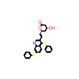 O=C1C[C@H](O)C[C@@H](/C=C/c2cnc3cc(Sc4ccccc4)ccc3c2Sc2ccccc2)O1